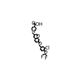 O=C(O)C1CCN(CC2=Cc3ccc(OCc4ccc(OC(CF)CF)c(Cl)c4)cc3OC2)CC1